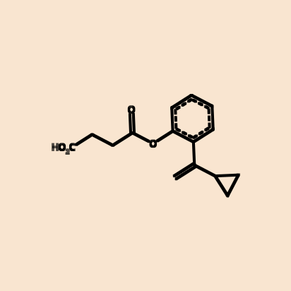 C=C(c1ccccc1OC(=O)CCC(=O)O)C1CC1